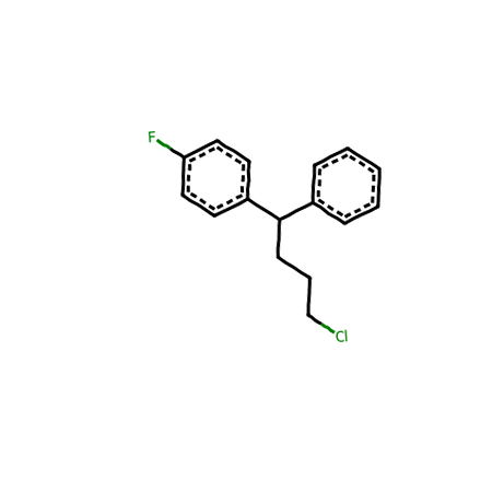 Fc1ccc(C(CCCCl)c2ccccc2)cc1